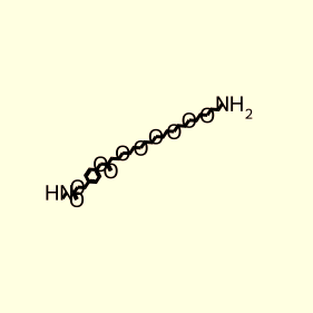 CNC(=O)OCc1ccc(OC(=O)CCOCCOCCOCCOCCOCCOCCN)cc1